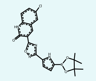 CC1(C)OB(c2ccc(-c3noc(-c4cc5cc(Cl)ccc5[nH]c4=O)n3)[nH]2)OC1(C)C